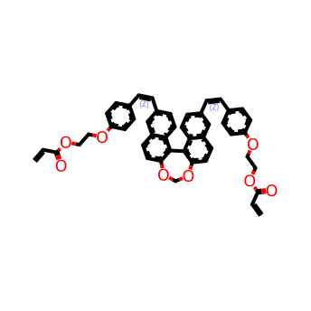 C=CC(=O)OCCOc1ccc(/C=C\c2ccc3c4c(ccc3c2)OCOc2ccc3cc(/C=C\c5ccc(OCCOC(=O)C=C)cc5)ccc3c2-4)cc1